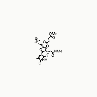 CNC(=O)CO[C@@H]1[C@H](OC(=O)CCC(=O)OC)[C@@H]([C@@H](C)CP(C)(C)=O)O[C@H]1n1cc(C)c(=O)[nH]c1=O